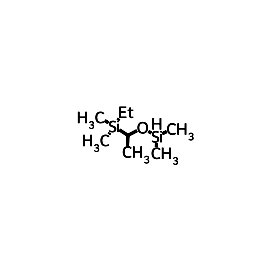 CC[Si](C)(C)C(C)O[SiH](C)C